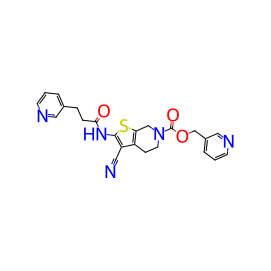 N#Cc1c(NC(=O)CCc2cccnc2)sc2c1CCN(C(=O)OCc1cccnc1)C2